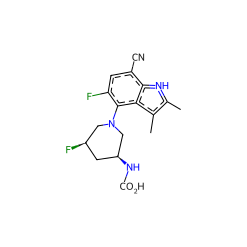 Cc1[nH]c2c(C#N)cc(F)c(N3C[C@H](F)C[C@H](NC(=O)O)C3)c2c1C